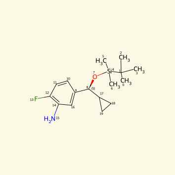 CC(C)(C)[Si](C)(C)O[C@H](c1ccc(F)c(N)c1)C1CC1